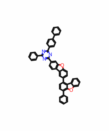 c1ccc(-c2ccc(-c3nc(-c4ccccc4)nc(-c4ccc5c(c4)oc4ccc(-c6ccc(-c7ccccc7)c7oc8ccccc8c67)cc45)n3)cc2)cc1